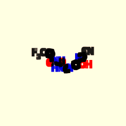 N#Cc1ccc(C2(O)CCC(N3CCC(NC(=O)CNC(=O)c4cccc(C(F)(F)F)c4)C3)CC2)nc1